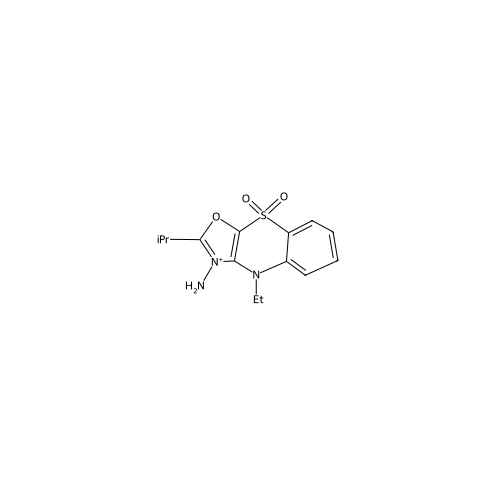 CCN1c2ccccc2S(=O)(=O)c2oc(C(C)C)[n+](N)c21